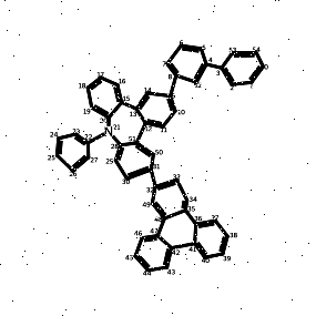 c1ccc(-c2cccc(-c3ccc4c(c3)-c3ccccc3N(c3ccccc3)c3ccc(-c5ccc6c7ccccc7c7ccccc7c6c5)cc3-4)c2)cc1